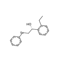 CCc1ccccc1[C@@H](O)C[Se]c1ccccc1